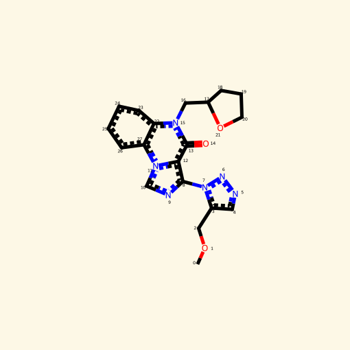 COCc1cnnn1-c1ncn2c1c(=O)n(CC1CCCO1)c1ccccc12